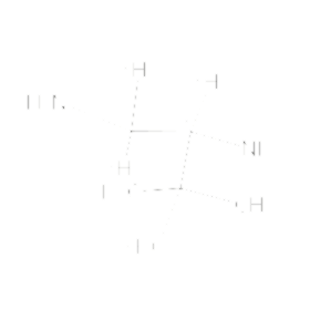 [2H]C([2H])(N)C([2H])(N)C(C)(C)C